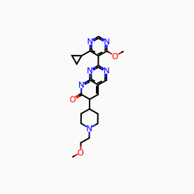 COCCN1CCC(C2C=c3cnc(-c4c(OC)ncnc4C4CC4)nc3=NC2=O)CC1